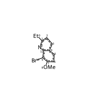 CCc1ccc2ccc(OC)c(Br)c2n1